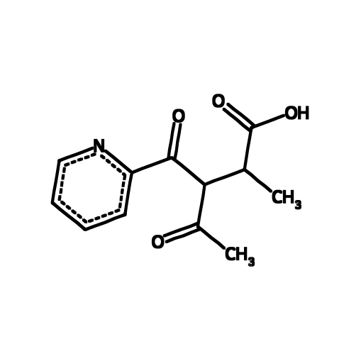 CC(=O)C(C(=O)c1ccccn1)C(C)C(=O)O